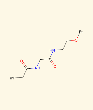 CCOCCNC(=O)CNC(=O)CC(C)C